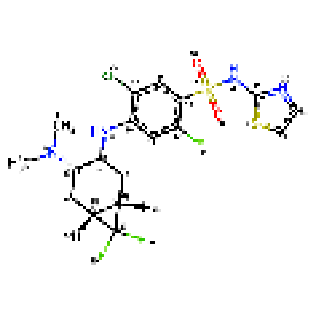 CN(C)[C@H]1C[C@@H]2[C@H](C[C@@H]1Nc1cc(F)c(S(=O)(=O)Nc3nccs3)cc1Cl)C2(F)F